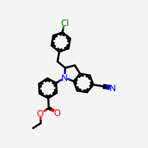 CCOC(=O)c1cccc(N2c3ccc(C#N)cc3CC2Cc2ccc(Cl)cc2)c1